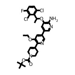 CCOc1cc(-c2cnc(N)c(OC(C)c3c(Cl)ccc(F)c3Cl)c2)cnc1C1=CCN(C(=O)OC(C)(C)C)CC1